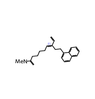 C=C/C(=C/CCCCC(=C)NC)CCc1cccc2ccccc12